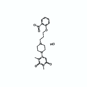 Cl.Cn1c(N2CCN(CCCOc3ccccc3[N+](=O)[O-])CC2)cc(=O)n(C)c1=O